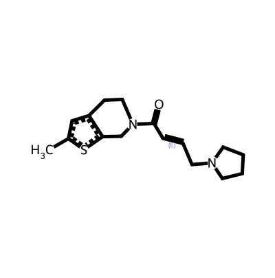 Cc1cc2c(s1)CN(C(=O)/C=C/CN1CCCC1)CC2